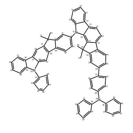 CC1(C)c2cc(-n3c4ccccc4c4ccc5c(c43)C(C)(C)c3cc(-c4ccc(N(c6ccccc6)c6ccccc6)cc4)ccc3-5)ccc2-c2cc3c(cc21)c1ccccc1n3-c1ccccc1